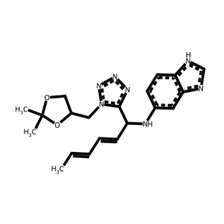 CC=CC=CC(Nc1ccc2[nH]cnc2c1)c1nnnn1CC1COC(C)(C)O1